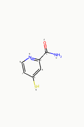 NC(=O)c1cc(S)ccn1